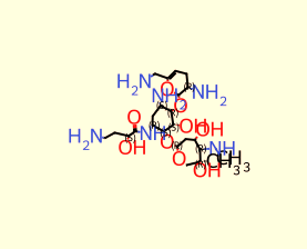 CN[C@@H]1C(O)C[C@@H](O[C@@H]2[C@@H](O)[C@H](OC3OC(CN)=CC[C@H]3N)[C@@H](N)C[C@H]2NC(=O)[C@@H](O)CCN)OC[C@]1(C)O